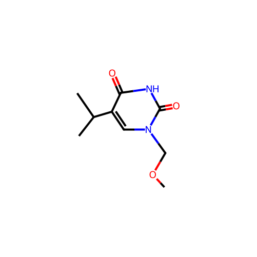 COCn1cc(C(C)C)c(=O)[nH]c1=O